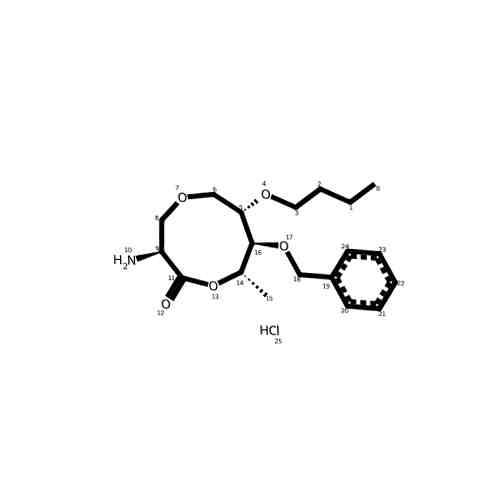 CCCCO[C@H]1COC[C@H](N)C(=O)O[C@@H](C)[C@@H]1OCc1ccccc1.Cl